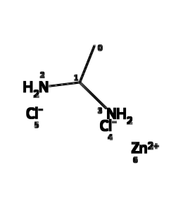 CC(N)N.[Cl-].[Cl-].[Zn+2]